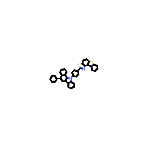 c1ccc(-c2cc3c4ccccc4n(-c4ccc(-c5nc6c(ccc7sc8ccccc8c76)s5)cc4)c3c3ccccc23)cc1